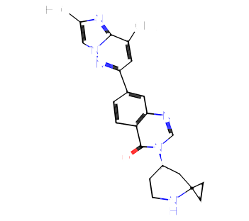 Cc1cn2nc(-c3ccc4c(=O)n([C@@H]5CCNC6(CC6)C5)cnc4c3)cc(C)c2n1